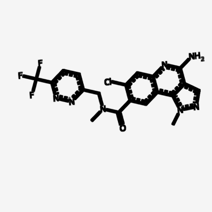 CN(Cc1ccc(C(F)(F)F)nn1)C(=O)c1cc2c(cc1Cl)nc(N)c1cnn(C)c12